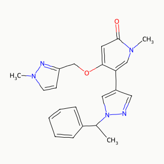 CC(c1ccccc1)n1cc(-c2cn(C)c(=O)cc2OCc2ccn(C)n2)cn1